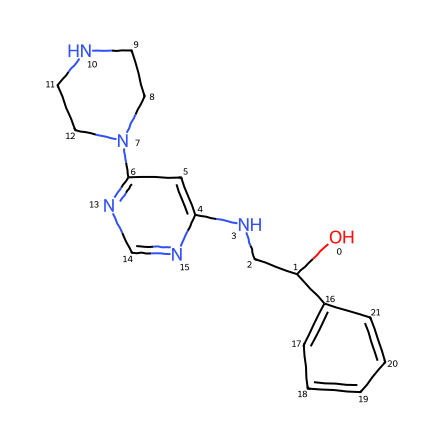 OC(CNc1cc(N2CCNCC2)ncn1)c1ccccc1